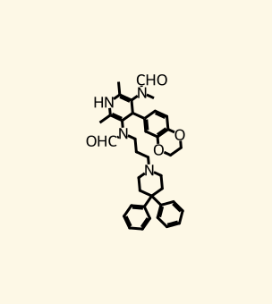 CC1=C(N(C)C=O)C(c2ccc3c(c2)OCCO3)C(N(C=O)CCCN2CCC(c3ccccc3)(c3ccccc3)CC2)=C(C)N1